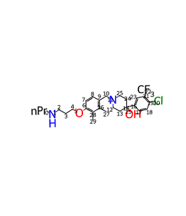 CCCNCCCOc1ccc(CN2CCC(O)(c3ccc(Cl)c(C(F)(F)F)c3)CC2)c(C)c1C